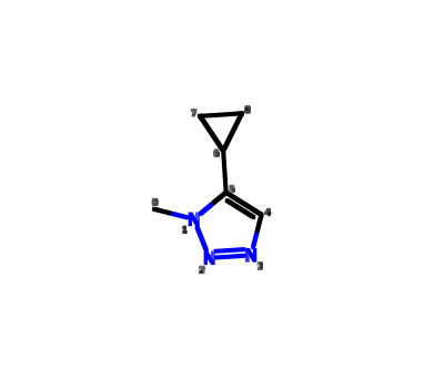 Cn1nncc1C1CC1